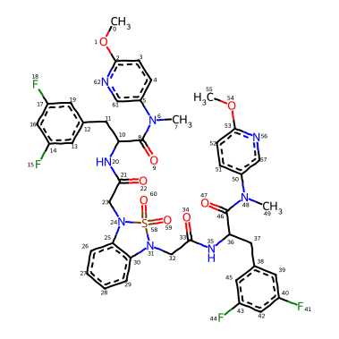 COc1ccc(N(C)C(=O)C(Cc2cc(F)cc(F)c2)NC(=O)CN2c3ccccc3N(CC(=O)NC(Cc3cc(F)cc(F)c3)C(=O)N(C)c3ccc(OC)nc3)S2(=O)=O)cn1